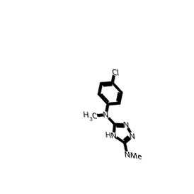 CNc1nnc(N(C)c2ccc(Cl)cc2)[nH]1